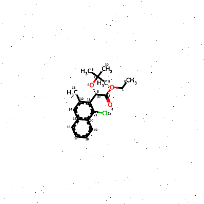 CCOC(=O)[C@@H](OC(C)(C)C)c1c(C)cc2ccccc2c1Cl